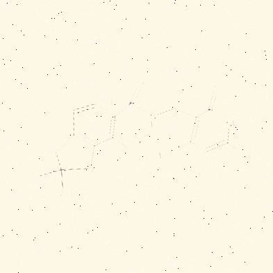 Cc1cc(C)c(CNC(=O)c2ccc3c(c2O)OC(C)(C)C3)c(=O)[nH]1